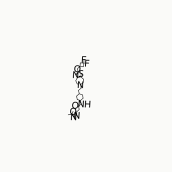 Cc1nnc(CC(=O)NC2CCC(CCN3CCc4nc(OC5CC(F)(F)C5)sc4CC3)CC2)o1